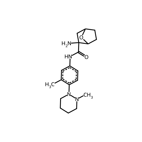 Cc1cc(NC(=O)C2(N)CC3CCC2O3)ccc1N1CCCCN1C